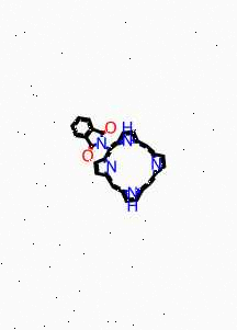 O=C1c2ccccc2C(=O)N1c1c2nc(cc3ccc(cc4nc(cc5ccc1[nH]5)C=C4)[nH]3)C=C2